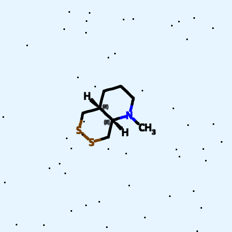 CN1CCC[C@H]2CSSC[C@H]21